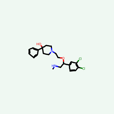 CNCC(OCCN1CCC(O)(c2ccccc2)CC1)c1ccc(Cl)c(Cl)c1